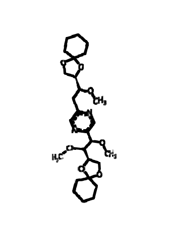 COC(c1cnc(CC(OC)[C@H]2COC3(CCCCC3)O2)cn1)C(OC)[C@H]1COC2(CCCCC2)O1